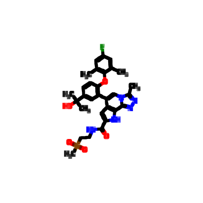 Cc1cc(F)cc(C)c1Oc1ccc(C(C)(C)O)cc1-c1cn2c(C)nnc2c2[nH]c(C(=O)NCCS(C)(=O)=O)cc12